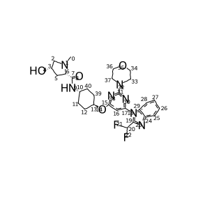 CN1C[C@@H](O)C[C@H]1C(=O)N[C@H]1CC[C@H](Oc2cc(-n3c(C(F)F)nc4ccccc43)nc(N3CCOCC3)n2)CC1